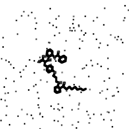 CCCCCCCCC(=O)c1ccccc1NCCCOc1ccc(CC(Nc2ccccc2OC(=O)c2ccccc2)C(=O)O)cc1